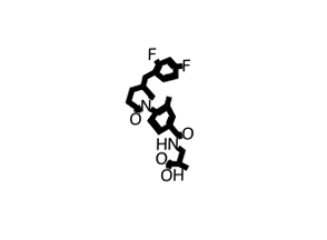 Cc1cc(C(=O)NCC(C)C(=O)O)ccc1N1CC(Cc2ccc(F)cc2F)CCC1=O